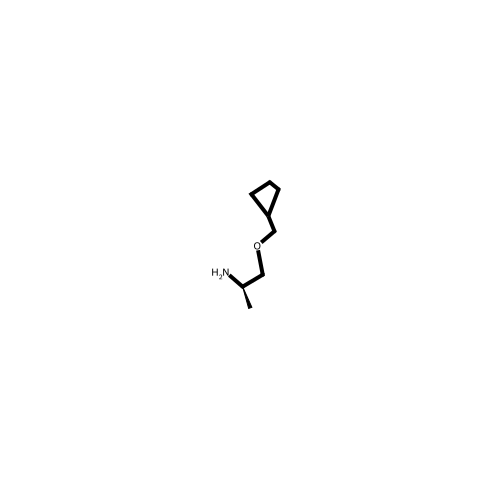 C[C@@H](N)COCC1CCC1